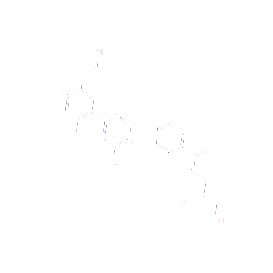 NCOc1cc(-c2nc(N)nc(Sc3ccc(C(=O)NCC(O)CO)cc3)n2)c(Cl)cc1Cl